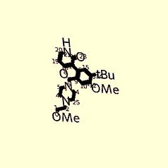 COCCN1CCN(C(=O)c2cc(OC)c(C(C)(C)C)cc2-c2ccc[nH]c2=O)CC1